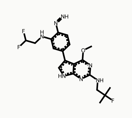 COc1nc(NCC(C)(C)F)nc2[nH]cc(-c3ccc(N=N)c(NCC(F)F)c3)c12